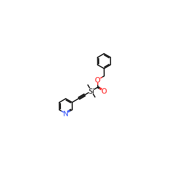 C[Si](C)(C#Cc1cccnc1)C(=O)OCc1ccccc1